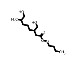 CCCCOOC(=O)CC(CO)CCCC(C)CO